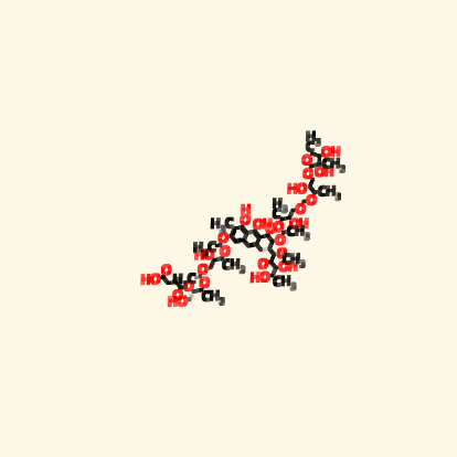 CO[C@H](C(=O)[C@@H](O)[C@@H](C)O)[C@@H]1Cc2cc3cc(OC(C)OC(C)[C@@H](O)CO[C@@H](C)OC(C)[C@H](CO)OC(=O)CCC(=O)O)c(C)c(O)c3c(O)c2C(=O)[C@H]1OC(C)OC(C)[C@@H](O)COCOC(C)[C@H](O)COC1OC(C)[C@@H](O)C1(C)O